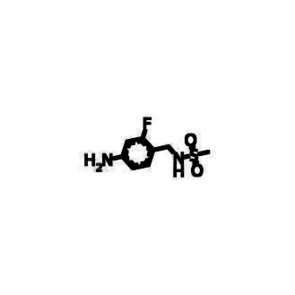 CS(=O)(=O)NCc1ccc(N)cc1F